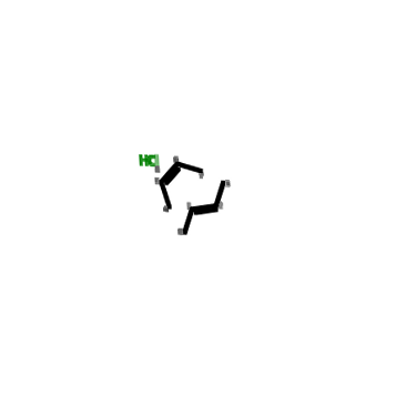 C/C=C/C.C/C=C\C.Cl